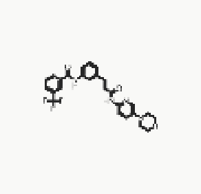 O=C(C=Cc1cccc(NC(=O)c2cccc(C(F)(F)F)c2)c1)Nc1ccc(N2CCOCC2)cn1